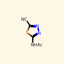 CC(=O)Nc1nnc(C#N)s1